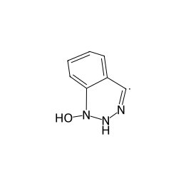 ON1NN=[C]c2ccccc21